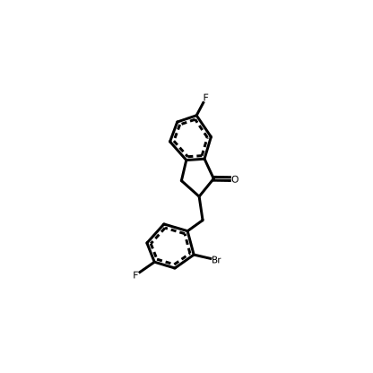 O=C1c2cc(F)ccc2CC1Cc1ccc(F)cc1Br